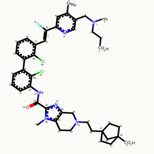 CCCN(CCC(=O)O)Cc1cnc(/C(F)=C/c2cccc(-c3cccc(NC(=O)c4nc5c(n4C)CCN(CCC46CCC(C(=O)O)(CC4)C6)C5)c3Cl)c2Cl)cc1OC